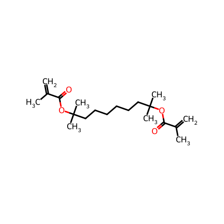 C=C(C)C(=O)OC(C)(C)CCCCCCC(C)(C)OC(=O)C(=C)C